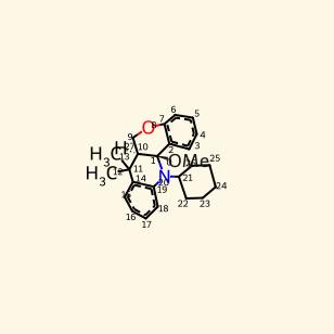 CO[C@]12c3ccccc3OC[C@@H]1C(C)(C)c1ccccc1N2C1CCCCC1